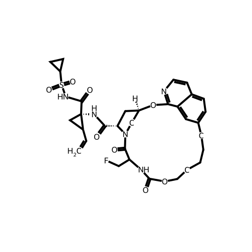 C=CC1C[C@@]1(NC(=O)[C@@H]1C[C@@H]2CN1C(=O)C(CF)NC(=O)OCCCCCc1ccc3ccnc(c3c1)O2)C(=O)NS(=O)(=O)C1CC1